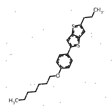 CCCCCCCOc1ccc(-c2cc3sc(CCC)cc3s2)cc1